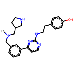 CCN(Cc1cccc(-c2ccnc(NCCc3ccc(O)cc3)n2)c1)C[C@H]1CCNC1